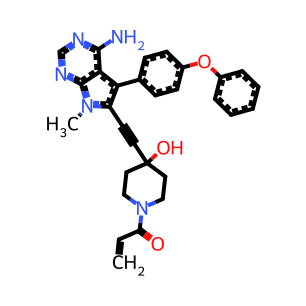 C=CC(=O)N1CCC(O)(C#Cc2c(-c3ccc(Oc4ccccc4)cc3)c3c(N)ncnc3n2C)CC1